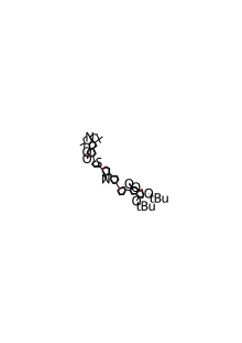 Cn1c2cc(-c3cccc(-c4cc5c(OC(C)(C)C)cc(OC(C)(C)C)cc5oc4=O)c3)ccc2c2ccc(-c3ccc(-c4cc5cc6c7c(c5oc4=O)C(C)(C)CCN7CCC6(C)C)s3)cc21